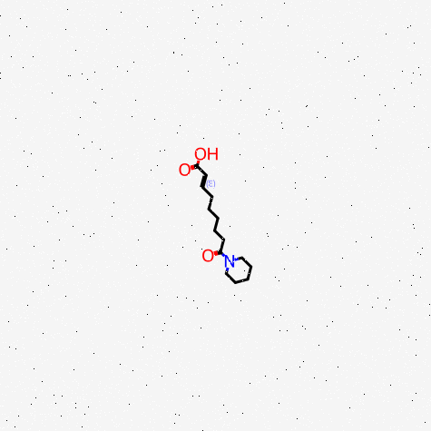 O=C(O)/C=C/CCCCCC(=O)N1CCCCC1